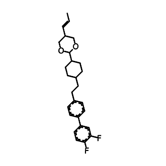 CC=CC1COC(C2CCC(CCc3ccc(-c4ccc(F)c(F)c4)cc3)CC2)OC1